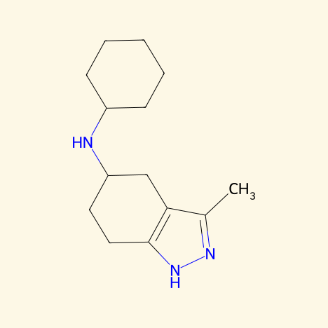 Cc1n[nH]c2c1CC(NC1CCCCC1)CC2